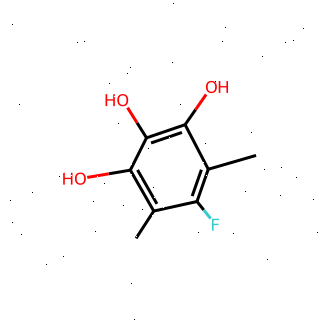 Cc1c(O)c(O)c(O)c(C)c1F